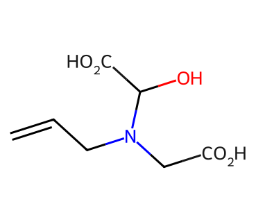 C=CCN(CC(=O)O)C(O)C(=O)O